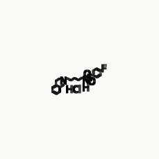 Cl.O=S(=O)(NCCCCCN1CCc2ccccc2C1)c1ccc(F)cc1